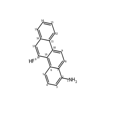 F.Nc1cccc2c1ccc1c3ccccc3ccc21